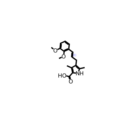 COc1cccc(/C=C/Cc2c(C)[nH]c(C(=O)O)c2C)c1OC